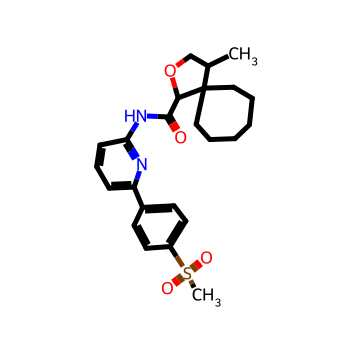 CC1COC(C(=O)Nc2cccc(-c3ccc(S(C)(=O)=O)cc3)n2)C12CCCCCC2